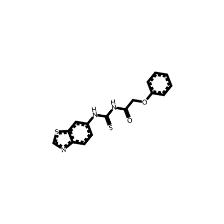 O=C(COc1ccccc1)NC(=S)Nc1ccc2ncsc2c1